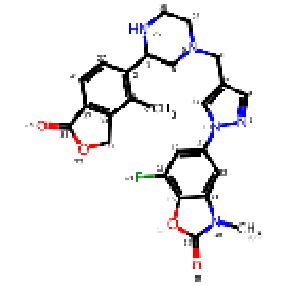 Cc1c(C2CN(Cc3cnn(-c4cc(F)c5oc(=O)n(C)c5c4)c3)CCN2)ccc2c1COC2=O